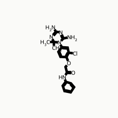 CC1(C)N=C(N)N=C(N)N1c1ccc(OCC(=O)Nc2ccccc2)c(Cl)c1